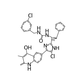 C=C1Nc2ccc(-c3nc([C@H](Cc4ccccc4)NC(=O)NCc4cccc(Cl)c4)[nH]c3Cl)cc2C(O)=C1C